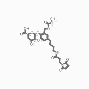 CNC(=O)OCc1cc(CCCCNC(=O)CCN2C(=O)C=CC2=O)ccc1O[C@@H]1O[C@H](C(=O)O)C[C@H](O)[C@H]1O